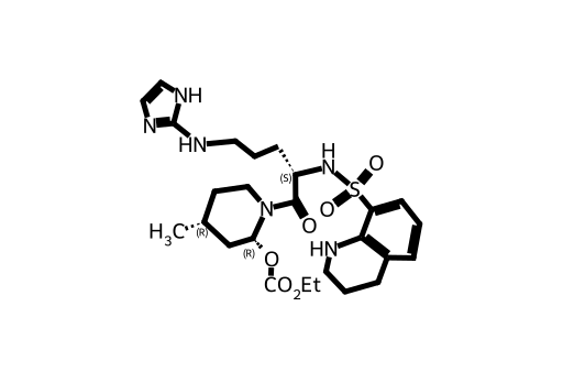 CCOC(=O)O[C@@H]1C[C@H](C)CCN1C(=O)[C@H](CCCNc1ncc[nH]1)NS(=O)(=O)c1cccc2c1NCCC2